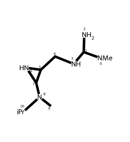 CNC(N)NCC1NC1N(C)C(C)C